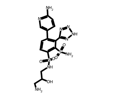 NCC(O)CNS(=O)(=O)c1ccc(-c2ccc(N)nc2)c(-c2nn[nH]n2)c1S(N)(=O)=O